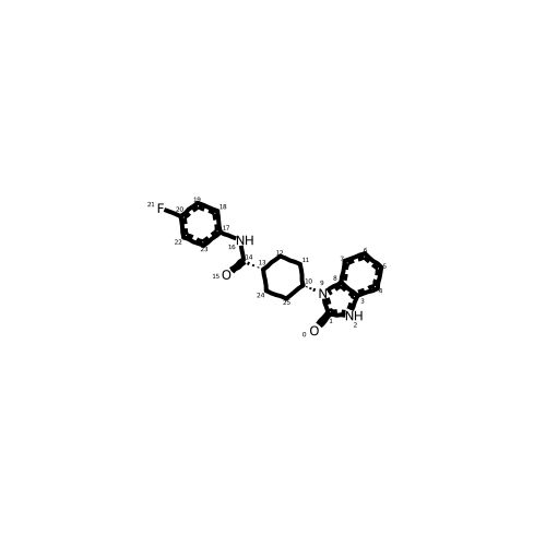 O=c1[nH]c2ccccc2n1[C@H]1CC[C@@H](C(=O)Nc2ccc(F)cc2)CC1